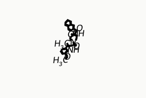 COc1cccc2c(C)c(C(=O)N3CCC4(CC3)NC(=O)c3cc5ccccc5cc3O4)[nH]c12